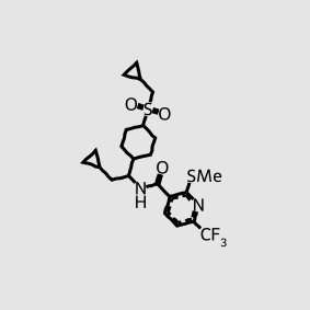 CSc1nc(C(F)(F)F)ccc1C(=O)NC(CC1CC1)C1CCC(S(=O)(=O)CC2CC2)CC1